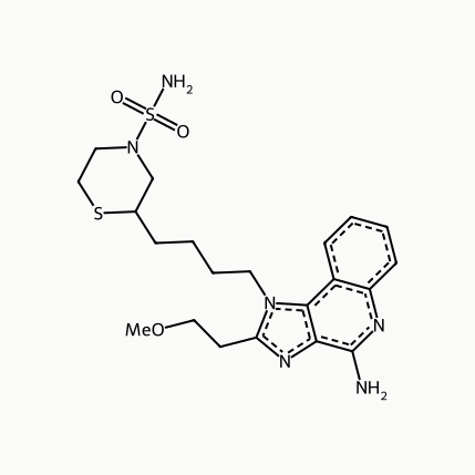 COCCc1nc2c(N)nc3ccccc3c2n1CCCCC1CN(S(N)(=O)=O)CCS1